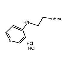 CCCCCCCCNc1ccncc1.Cl.Cl